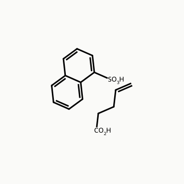 C=CCCC(=O)O.O=S(=O)(O)c1cccc2ccccc12